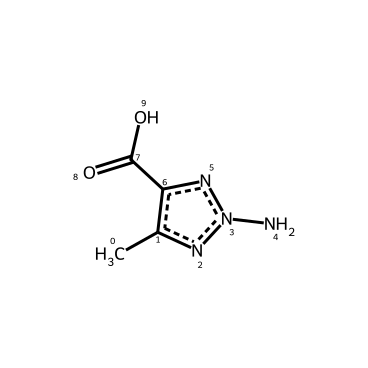 Cc1nn(N)nc1C(=O)O